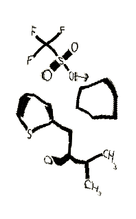 C1CCCCC1.CC(C)C(=O)Cc1cccs1.O=S(=O)(O)C(F)(F)F